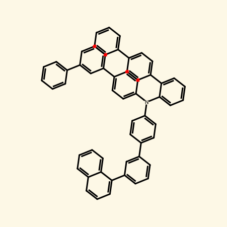 c1ccc(-c2ccc(-c3ccccc3N(c3ccc(-c4cccc(-c5ccccc5)c4)cc3)c3ccc(-c4cccc(-c5cccc6ccccc56)c4)cc3)cc2)cc1